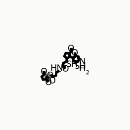 Nc1cc2oc(=O)c3c(c2cc1S)C(C(S)CC(=O)NCCCC(=O)ON1C(=O)CCC1=O)CC3